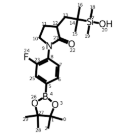 CC1(C)OB(c2ccc(N3CCC(CC(C)(C)[Si](C)(C)O)C3=O)c(F)c2)OC1(C)C